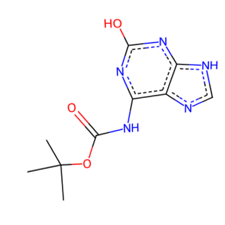 CC(C)(C)OC(=O)Nc1nc(O)nc2[nH]cnc12